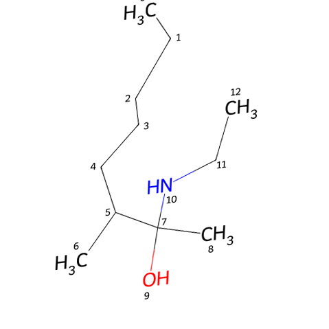 CCCCCC(C)C(C)(O)NCC